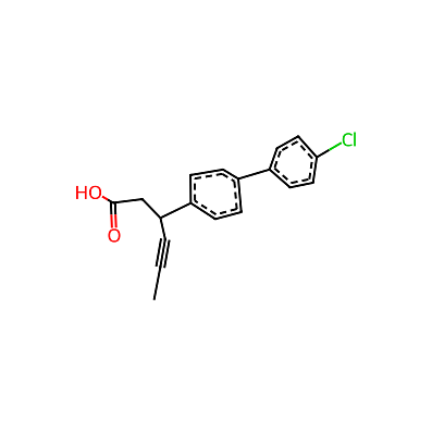 CC#CC(CC(=O)O)c1ccc(-c2ccc(Cl)cc2)cc1